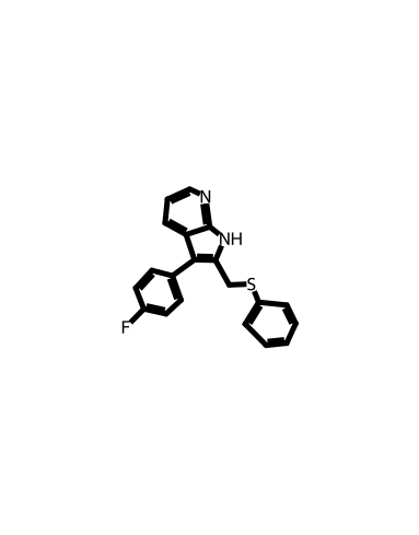 Fc1ccc(-c2c(CSc3ccccc3)[nH]c3ncccc23)cc1